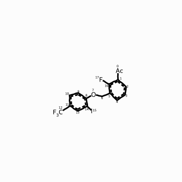 CC(=O)c1cccc(COc2ccc(C(F)(F)F)cc2I)c1F